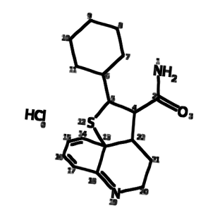 Cl.NC(=O)C1C(C2CCCCC2)SC23C=CC=CC2=NCCC13